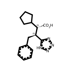 O=C(O)[C@@H](C1CCCC1)[C@H](Cc1ccccc1)c1nnn[nH]1